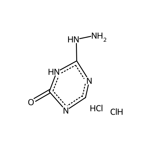 Cl.Cl.NNc1ncnc(=O)[nH]1